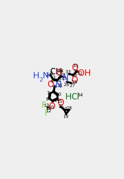 CC(N)c1oc(-c2ccc(OC(F)F)c(OCC3CC3)c2)nc1C(=O)N1CCOC(C(=O)O)C1.Cl